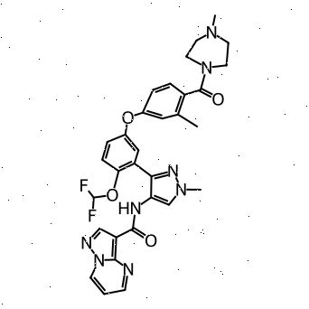 Cc1cc(Oc2ccc(OC(F)F)c(-c3nn(C)cc3NC(=O)c3cnn4cccnc34)c2)ccc1C(=O)N1CCN(C)CC1